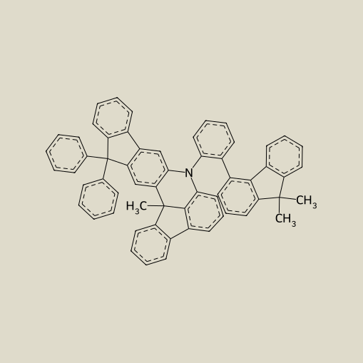 CC1(C)c2ccccc2-c2c(-c3ccccc3N3c4cc5c(cc4C4(C)c6ccccc6-c6cccc3c64)C(c3ccccc3)(c3ccccc3)c3ccccc3-5)cccc21